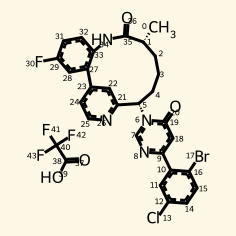 C[C@@H]1CCC[C@H](n2cnc(-c3cc(Cl)ccc3Br)cc2=O)c2cc(ccn2)-c2cc(F)ccc2NC1=O.O=C(O)C(F)(F)F